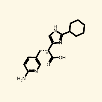 Nc1ccc(C[C@@H](C(=O)O)c2c[nH]c(C3CCCCC3)n2)cn1